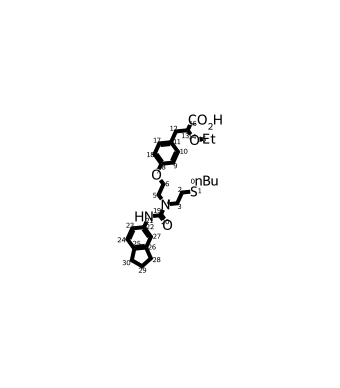 CCCCSCCN(CCOc1ccc(CC(OCC)C(=O)O)cc1)C(=O)Nc1ccc2c(c1)CCC2